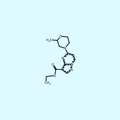 CCOC(=O)c1cnn2ccc(N3CCOC(C)C3)nc12